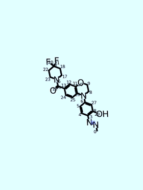 C/N=N/c1ccc(N2CCOc3cc(C(=O)N4CCC(F)(F)CC4)ccc32)cc1O